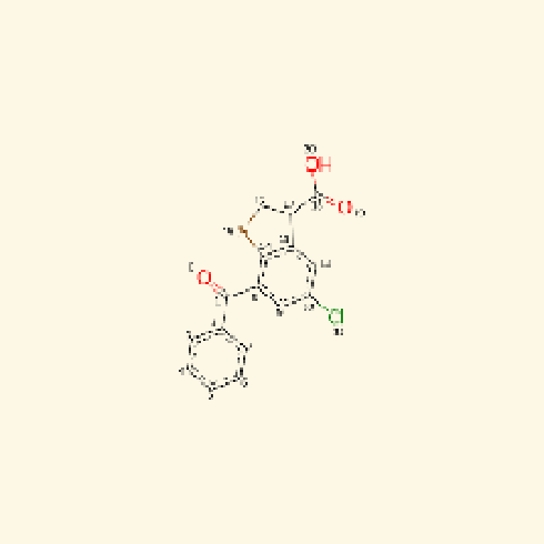 O=C(c1ccccc1)c1cc(Cl)cc2c1SCC2C(=O)O